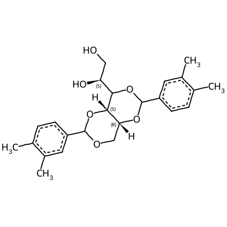 Cc1ccc(C2OC[C@H]3OC(c4ccc(C)c(C)c4)OC([C@@H](O)CO)[C@H]3O2)cc1C